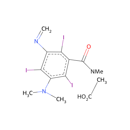 C=Nc1c(I)c(C(=O)NC)c(I)c(N(C)C)c1I.CC(=O)O